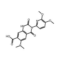 COc1ccc(-n2c(=O)[nH]c3cc(C(=O)O)c(N(C)C)cc3c2=O)nc1OC